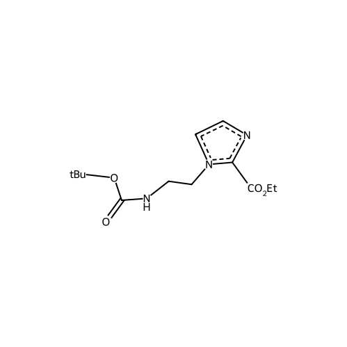 CCOC(=O)c1nccn1CCNC(=O)OC(C)(C)C